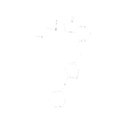 CCC(=O)NC(=O)C(C)(O)N1Cc2c(OCc3ccc(C(O)(O)N4CCOCC4)cc3)cccc2C1=O